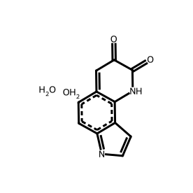 O.O.O=C1C=c2ccc3c(c2NC1=O)C=CN=3